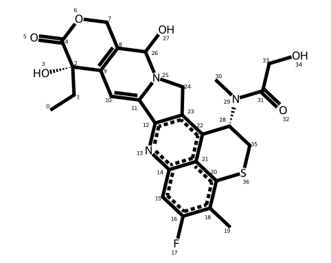 CC[C@@]1(O)C(=O)OCC2=C1C=C1c3nc4cc(F)c(C)c5c4c(c3CN1C2O)[C@H](N(C)C(=O)CO)CS5